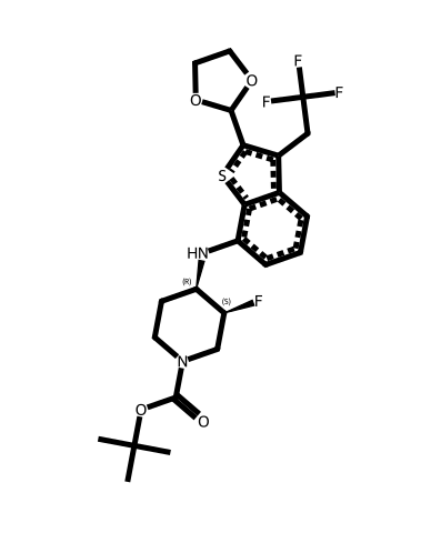 CC(C)(C)OC(=O)N1CC[C@@H](Nc2cccc3c(CC(F)(F)F)c(C4OCCO4)sc23)[C@@H](F)C1